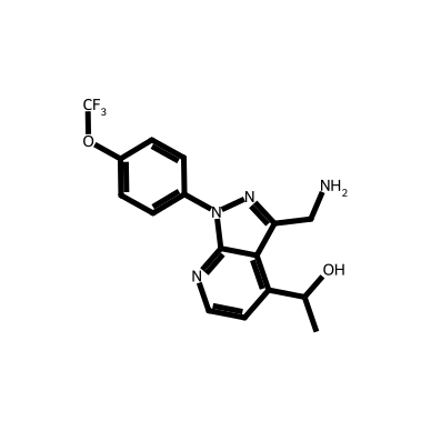 CC(O)c1ccnc2c1c(CN)nn2-c1ccc(OC(F)(F)F)cc1